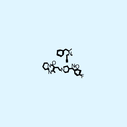 C#CCN(C)[C@H](C)Cc1ccccc1.Cc1nc2n(c(=O)c1CCN1CCC(c3noc4cc(F)ccc34)CC1)CCCC2